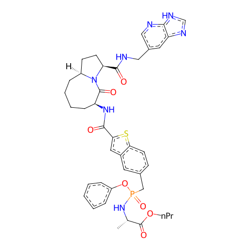 CCCOC(=O)[C@H](C)NP(=O)(Cc1ccc2sc(C(=O)N[C@H]3CCCC[C@H]4CC[C@@H](C(=O)NCc5cnc6[nH]cnc6c5)N4C3=O)cc2c1)Oc1ccccc1